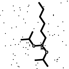 CCCCCC[SiH](OC(C)C)OC(C)C